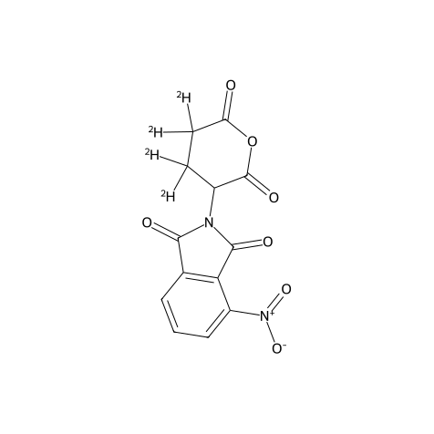 [2H]C1([2H])C(=O)OC(=O)C(N2C(=O)c3cccc([N+](=O)[O-])c3C2=O)C1([2H])[2H]